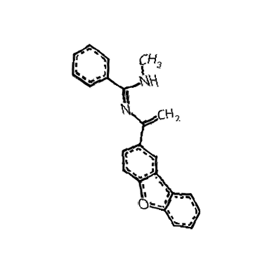 C=C(/N=C(\NC)c1ccccc1)c1ccc2oc3ccccc3c2c1